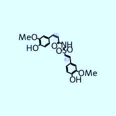 COc1cc(/C=C\C(=O)NS(=O)(=O)/C=C/c2ccc(O)c(OC)c2)ccc1O